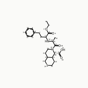 CCOC(=O)C(CCc1ccccc1)N[C@@H](C)C(=O)N1CCC2CSCCC2[C@H]1C(=O)O